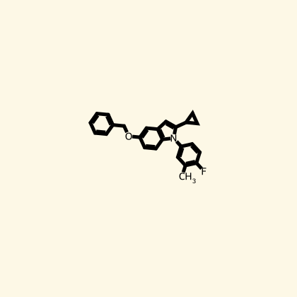 Cc1cc(-n2c(C3CC3)cc3cc(OCc4ccccc4)ccc32)ccc1F